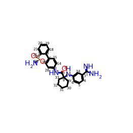 N=C(N)c1cccc(NC2(C(=O)Nc3ccc(-c4ccccc4S(N)(=O)=O)cc3)CCCCC2)c1